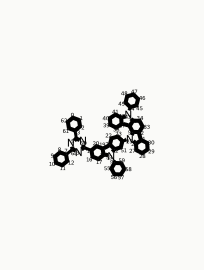 c1ccc(-c2nc(-c3ccccc3)nc(-c3ccc4c(c3)c3ccc(-n5c6ccccc6c6ccc7c(c8ccccc8n7-c7ccccc7)c65)cc3n4-c3ccccc3)n2)cc1